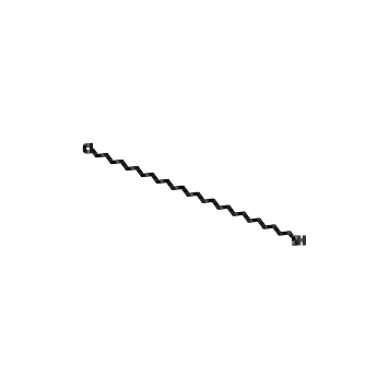 SCCCCCCCCCCCCCCCCCCCCCCCCCCCl